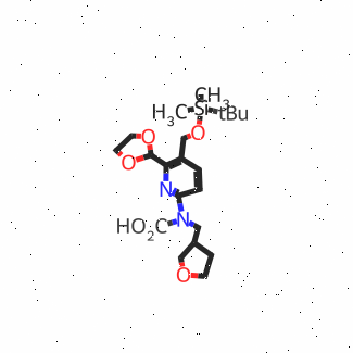 CC(C)(C)[Si](C)(C)OCc1ccc(N(CC2CCOC2)C(=O)O)nc1C1OCCO1